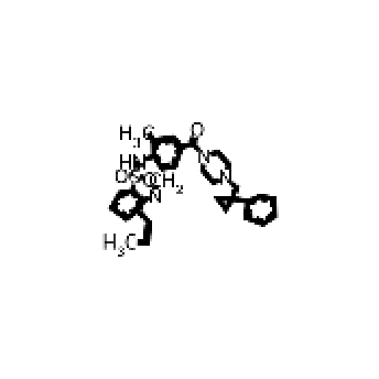 C=Nc1c(/C=C\C)cccc1S(=O)(=O)Nc1ccc(C(=O)N2CCN(CC3(c4ccccc4)CC3)CC2)cc1C